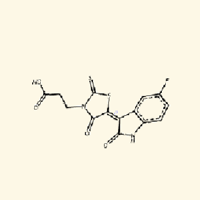 O=C(O)CCN1C(=O)/C(=C2\C(=O)Nc3ccc(F)cc32)SC1=S